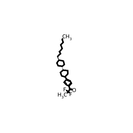 CCCCCCCC[C@H]1CC[C@H](C2CCC(c3ccc(C(=O)C(C)(F)F)cc3)CC2)CC1